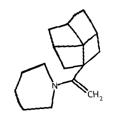 C=C(N1CCCCC1)C12CC3CC4CC(C1)C432